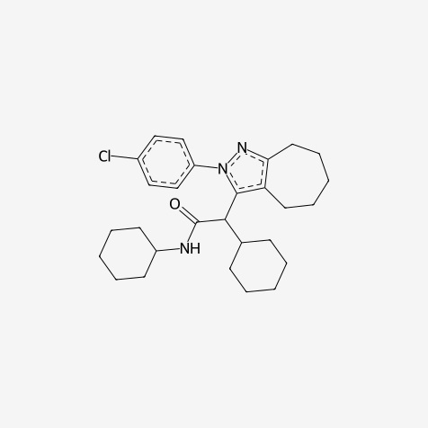 O=C(NC1CCCCC1)C(c1c2c(nn1-c1ccc(Cl)cc1)CCCCC2)C1CCCCC1